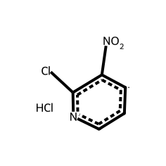 Cl.O=[N+]([O-])c1[c]ccnc1Cl